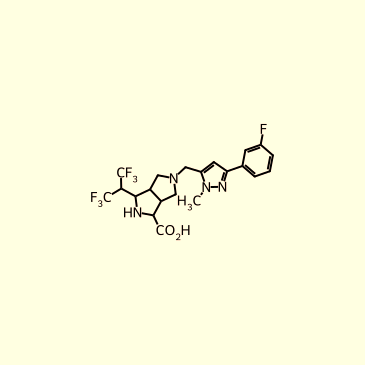 Cn1nc(-c2cccc(F)c2)cc1CN1CC2C(C(=O)O)NC(C(C(F)(F)F)C(F)(F)F)C2C1